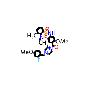 C=C/N=C1\C(=C)C=CC=C1S(=O)(=O)Nc1ccc(C(=O)N2CCN(Cc3ccc(OC)cc3F)CC2)c(OC)c1